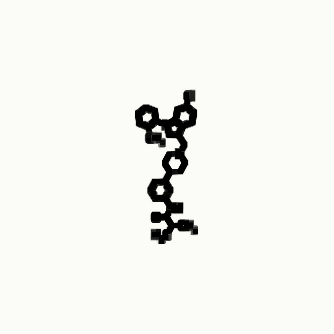 Cc1ccccc1-n1cc(CN2CCC(c3cccc(NC(=O)C(C)C)c3)CC2)c2ccc(Cl)cc21